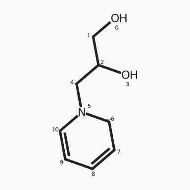 OCC(O)CN1[C]C=CC=C1